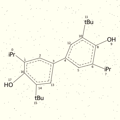 CC(C)c1cc(-c2cc(C(C)C)c(O)c(C(C)(C)C)c2)cc(C(C)(C)C)c1O